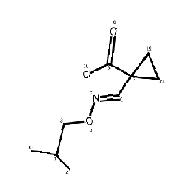 CC(C)CO/N=C/C1(C(=O)Cl)CC1